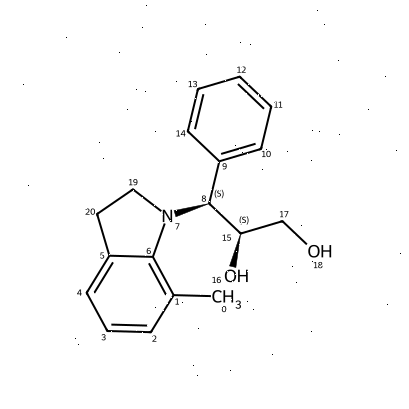 Cc1cccc2c1N([C@@H](c1ccccc1)[C@H](O)CO)CC2